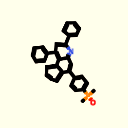 CP(C)(=O)c1ccc(-c2cc3nc(-c4ccccc4)cc(-c4ccccc4)c3c3ccccc23)cc1